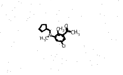 CC(=O)c1cc(Cl)cc(N(C)CC2CCCC2)c1C